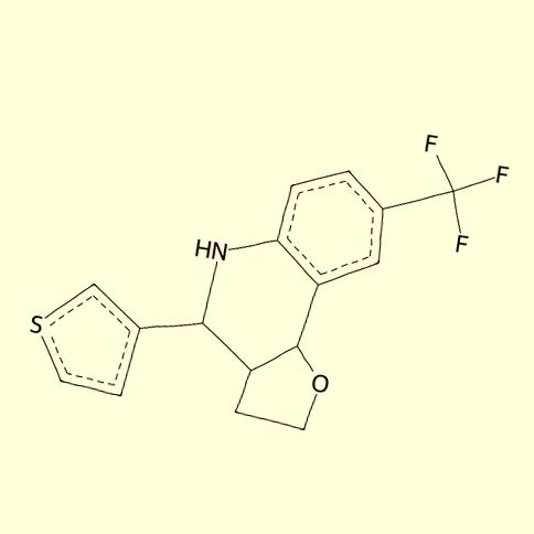 FC(F)(F)c1ccc2c(c1)C1OCCC1C(c1ccsc1)N2